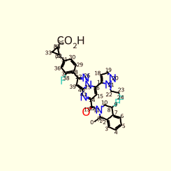 C[C@@H]1c2ccccc2C(F)CN1C(=O)c1cc(-c2ccnn2CCF)n2nc(-c3ccc([C@H]4C[C@@H]4C(=O)O)cc3F)cc2n1